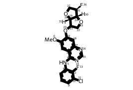 COc1cc2c(Nc3cccc(Cl)c3F)ncnc2cc1OC1CO[C@H]2[C@H](F)CO[C@@H]12